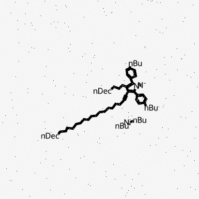 CCCCCCCCCCCCCCCCCCCCCCCCCCC#CC1=C(c2ccc(CCCC)cc2)[N+](=[N-])C(c2ccc(CCCC)cc2)=C1CCCCCCCCCCCCC.CCC[CH2][Ni][CH2]CCC